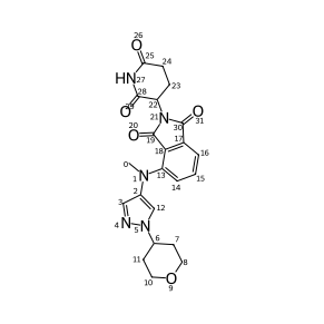 CN(c1cnn(C2CCOCC2)c1)c1cccc2c1C(=O)N(C1CCC(=O)NC1=O)C2=O